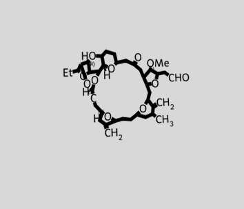 C=C1C[C@@H]2CC[C@H]3OC4C(CC)OC5C(O3)[C@H]3OC(CCC3O[C@@H]45)CC(=O)CC3C(CC4OC(CCC1O2)CC(C)C4=C)OC(CC=O)[C@@H]3OC